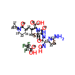 Nc1nc(/C(=N/O)C(=O)N[C@@H]2C(=O)N3C(C(=O)O)=C(/C=C4\CCCN(C5CC5)C4=O)CS[C@H]23)cs1.O=C(O)C(F)(F)F